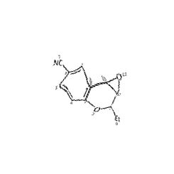 CCC1Oc2ccc(C#N)cc2C2OC12